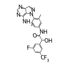 Cc1cc(NC(=O)C(O)c2cc(F)cc(C(F)(F)F)c2)ccc1-n1ncc2ncnc(N)c21